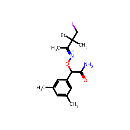 CCC(C)(CI)/C(C)=N/OC(C(N)=O)c1cc(C)cc(C)c1